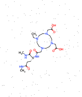 CCN1CCN(CC(=O)O)CCN(CC(=O)O)CCN(CC(=O)N[C@H](CCC(=O)NC)C(=O)NC)CC1